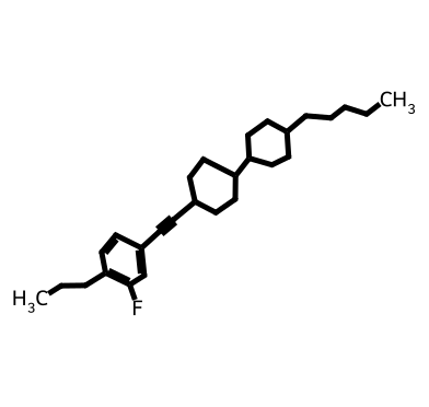 CCCCCC1CCC(C2CCC(C#Cc3ccc(CCC)c(F)c3)CC2)CC1